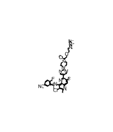 Cc1nc2cc(F)c(-c3cnc(N4CCN(C(=O)COCCN=[N+]=[N-])CC4)nc3)nc2c(N[C@@H](C)c2cc(C#N)ccc2F)c1Cl